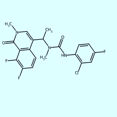 CC(c1cn(C)c(=O)c2c(F)c(F)ccc12)N(C)C(=O)Nc1ccc(F)cc1Cl